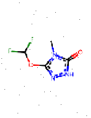 Cn1c(OC(F)F)n[nH]c1=O